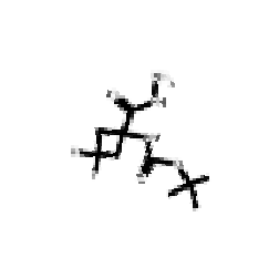 CC(C)(C)OC(=O)NC1(C(=O)NN)CC(F)(F)C1